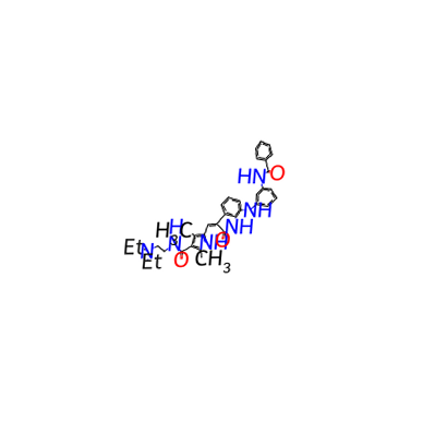 CCN(CC)CCNC(=O)c1c(C)[nH]c(C=C2C(=O)Nc3c(Nc4cccc(NC(=O)c5ccccc5)c4)cccc32)c1C